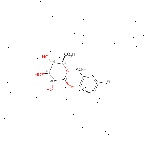 CCc1ccc(O[C@@H]2O[C@H](C(=O)O)[C@@H](O)[C@H](O)[C@H]2O)c(NC(C)=O)c1